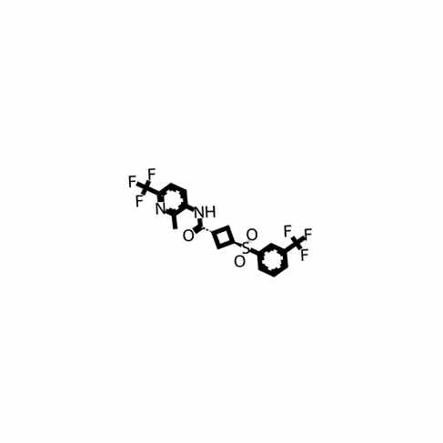 Cc1nc(C(F)(F)F)ccc1NC(=O)[C@H]1C[C@H](S(=O)(=O)c2cccc(C(F)(F)F)c2)C1